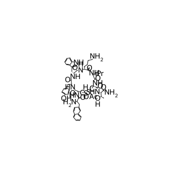 CC(=O)O[SH]1C[C@@H](NC(=O)[C@H](N)Cc2ccc3ccccc3c2)C(=O)N[C@@H](Cc2ccc(O)cc2)C(=O)N[C@H](Cc2c[nH]c3ccccc23)C(=O)N[C@@H](CCCCN)C(=O)N[C@@H](C(C)C)C(=O)N[C@@H](C(=O)N[C@H](C(N)=O)[C@@H](C)O)CS1